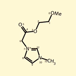 COCCOC(=O)C[n+]1ccn(C)c1